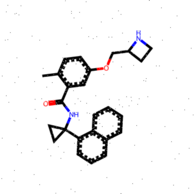 Cc1ccc(OCC2CCN2)cc1C(=O)NC1(c2cccc3ccccc23)CC1